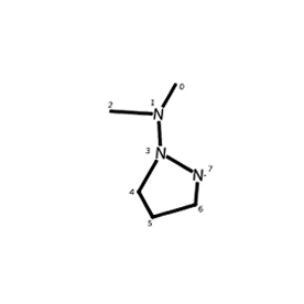 CN(C)N1CCC[N]1